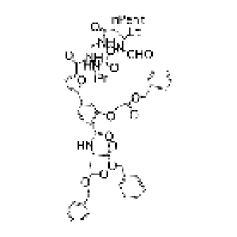 CCCCC[C@@H](C(=O)NCNC(=O)c1ccc(-c2ccc(C(=O)N[C@@H](CC(=O)OCc3ccccc3)C(=O)OCc3ccccc3)c(OCC(=O)OCc3ccccc3)c2)o1)[C@@H](CC)N(C=O)OC(=O)NC(C)C